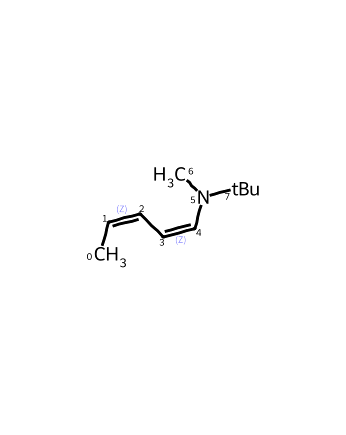 C/C=C\C=C/N(C)C(C)(C)C